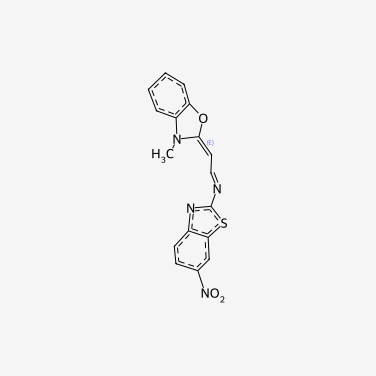 CN1/C(=C\C=Nc2nc3ccc([N+](=O)[O-])cc3s2)Oc2ccccc21